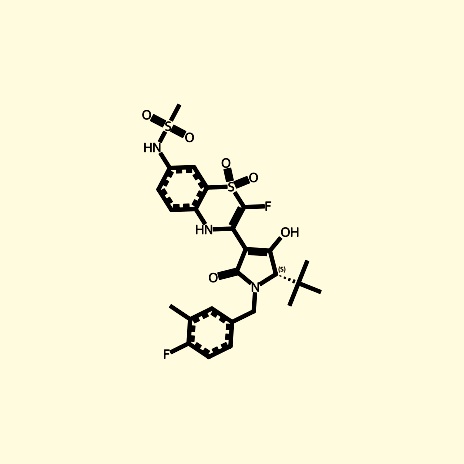 Cc1cc(CN2C(=O)C(C3=C(F)S(=O)(=O)c4cc(NS(C)(=O)=O)ccc4N3)=C(O)[C@@H]2C(C)(C)C)ccc1F